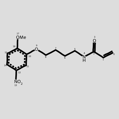 C=CC(=O)NCCCCOc1cc([N+](=O)[O-])ccc1OC